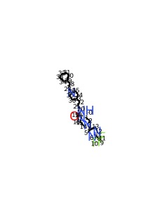 C[C@@H]1CN(c2cnc(C(F)(F)F)nc2)C[C@H](C)N1C(=O)NCCC1CCN(CCc2ccccc2)CC1